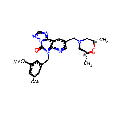 COc1cc(Cn2c(=O)n3ncnc3c3cc(CN4C[C@@H](C)O[C@@H](C)C4)cnc32)cc(OC)c1